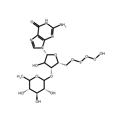 CC1OC(O[C@@H]2C(O)[C@H](n3cnc4c(=O)[nH]c(N)nc43)O[C@@H]2COSOOO)[C@H](O)[C@@H](O)[C@@H]1O